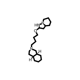 C(CCN1CC[C@H]2CCCC[C@@H]2C1)COC1CC2CCCCN2N1